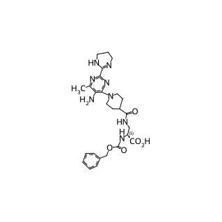 Cc1nc(C2=NCCCN2)nc(N2CCC(C(=O)NC[C@H](NC(=O)OCc3ccccc3)C(=O)O)CC2)c1N